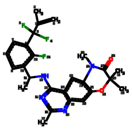 C=C(C)C(F)(F)c1cccc(C(C)Nc2nc(C)nc3cc4c(cc23)N(C)C(=O)C(C)(C)O4)c1F